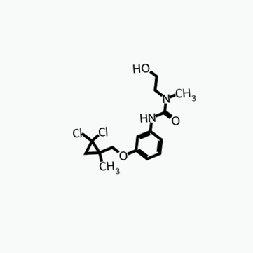 CN(CCO)C(=O)Nc1cccc(OCC2(C)CC2(Cl)Cl)c1